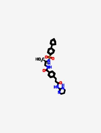 O=C(CCc1ccc(C(=O)NC[C@H](NS(=O)(=O)c2ccc(-c3ccccc3)cc2)C(=O)O)cc1)NC1=NCCCN1